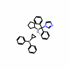 c1ccc(B(c2ccccc2)C2CC2)cc1.c1ccc(C([SiH2]C2CCCC2)(c2ccccc2)n2ccnc2)cc1